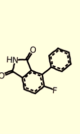 O=C1NC(=O)c2c1ccc(F)c2-c1ccccc1